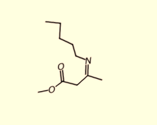 CCCCC/N=C(/C)CC(=O)OC